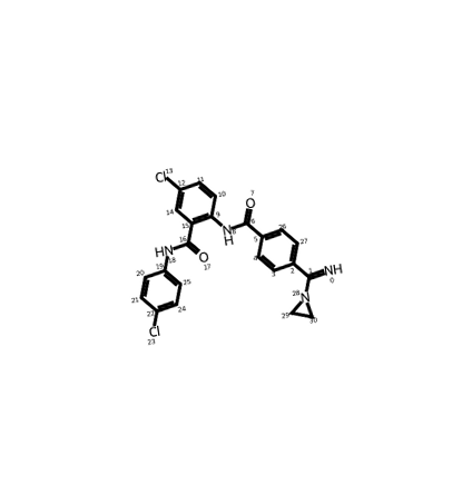 N=C(c1ccc(C(=O)Nc2ccc(Cl)cc2C(=O)Nc2ccc(Cl)cc2)cc1)N1CC1